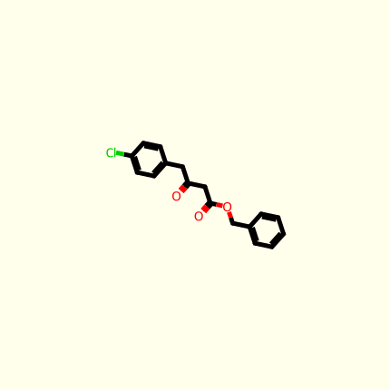 O=C(CC(=O)OCc1ccccc1)Cc1ccc(Cl)cc1